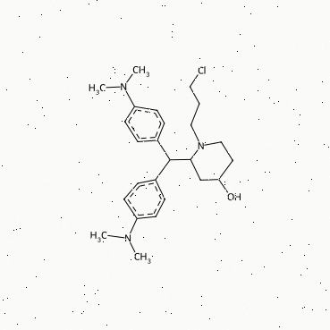 CN(C)c1ccc(C(c2ccc(N(C)C)cc2)C2CC(O)CCN2CCCCl)cc1